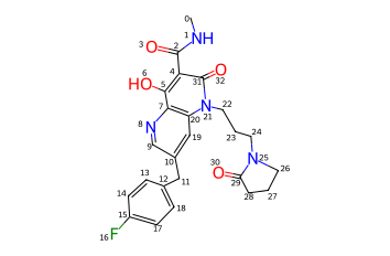 CNC(=O)c1c(O)c2ncc(Cc3ccc(F)cc3)cc2n(CCCN2CCCC2=O)c1=O